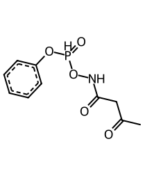 CC(=O)CC(=O)NO[PH](=O)Oc1ccccc1